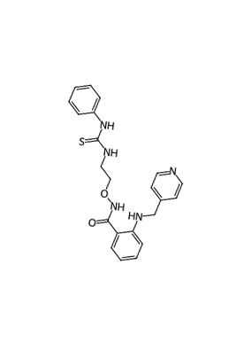 O=C(NOCCNC(=S)Nc1ccccc1)c1ccccc1NCc1ccncc1